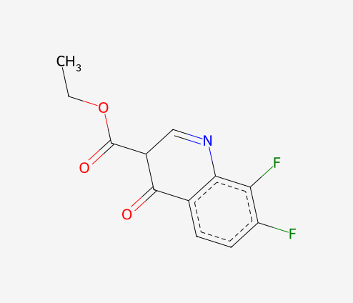 CCOC(=O)C1C=Nc2c(ccc(F)c2F)C1=O